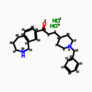 Cl.Cl.O=C(CCC1CCN(Cc2ccccc2)CC1)c1ccc2c(c1)CNCCC2